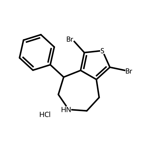 Brc1sc(Br)c2c1CCNCC2c1ccccc1.Cl